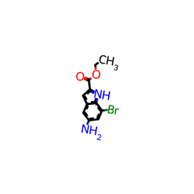 CCOC(=O)c1cc2cc(N)cc(Br)c2[nH]1